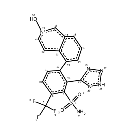 NS(=O)(=O)c1c(C(F)(F)F)ccc(-c2cccc3c[n+](O)ccc23)c1-c1nn[nH]n1